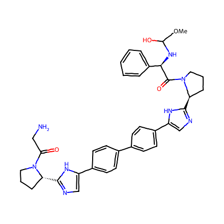 COC(O)N[C@@H](C(=O)N1CCC[C@H]1c1ncc(-c2ccc(-c3ccc(-c4cnc([C@@H]5CCCN5C(=O)CN)[nH]4)cc3)cc2)[nH]1)c1ccccc1